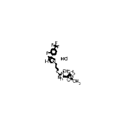 Cc1nc(C)c(-c2nnc(SCCCN3C[C@@H]4C[C@]4(c4ccc(C(F)(F)F)cc4F)C3)n2C)o1.Cl